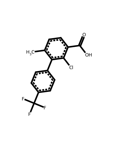 Cc1ccc(C(=O)O)c(Cl)c1-c1ccc(C(F)(F)F)cc1